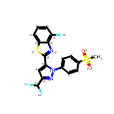 CS(=O)(=O)c1ccc(-n2nc(C(F)F)cc2-c2nc3c(F)cccc3s2)cc1